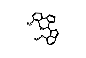 COc1cccc2coc(C3NCc4c(C)cccc4-n4cccc43)c12